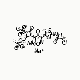 CON=C(C(=O)NC1C(=O)N(S(=O)(=O)[O-])C1COS(C)(=O)=O)c1csc(NC(=O)CCl)n1.[Na+]